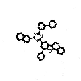 c1ccc(-c2cccc(-c3nc(-c4ccc5ccccc5c4)nc(-c4cc(-c5ccccc5)c5oc6c7ccccc7ccc6c5c4)n3)c2)cc1